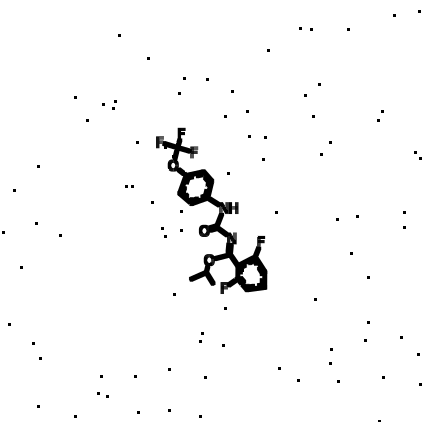 CC(C)O/C(=N\C(=O)Nc1ccc(OC(F)(F)F)cc1)c1c(F)cccc1F